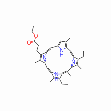 CCOC(=O)CCC1=C(C)c2cc3[nH]c(c(C)c4nc(cc5[nH]c(cc1n2)cc5C)C(CC)=C4C)c(CC)c3C